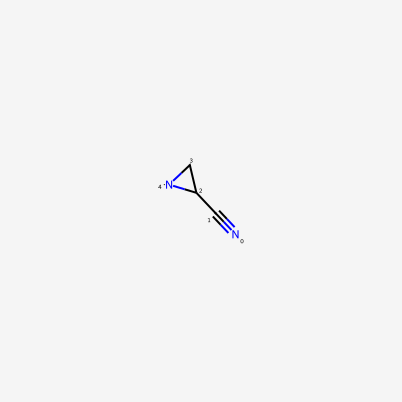 N#CC1C[N]1